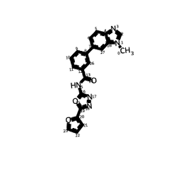 Cn1cnc2ccc(-c3cccc(C(=O)Nc4nnc(-c5ccco5)o4)c3)cc21